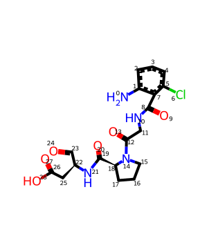 Nc1cccc(Cl)c1C(=O)NCC(=O)N1CCC[C@H]1C(=O)N[C@H](C=O)CC(=O)O